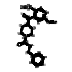 CCOC(=O)c1cnc(SC)nc1C(=O)C1CCN(C(=O)OCc2ccccc2)CC1